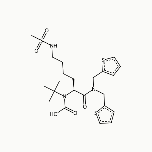 CC(C)(C)N(C(=O)O)[C@@H](CCCCNS(C)(=O)=O)C(=O)N(Cc1cccs1)Cc1cccs1